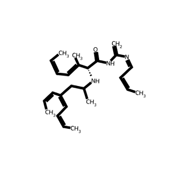 C=C(/N=C\C=C/C)NC(=O)[C@H](NC(C)CC(/C=C\C)=C/C=C\C)/C(C)=C/C=C\C